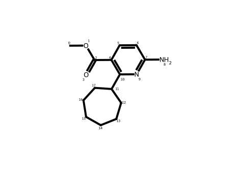 COC(=O)c1ccc(N)nc1C1CCCCCC1